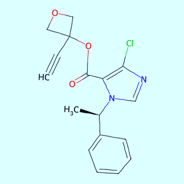 C#CC1(OC(=O)c2c(Cl)ncn2[C@H](C)c2ccccc2)COC1